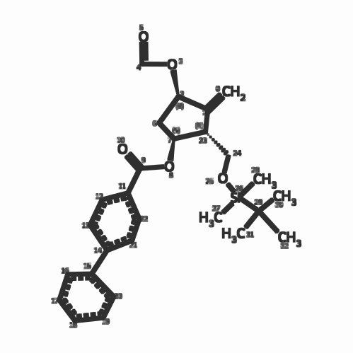 C=C1[C@H](OC=O)C[C@H](OC(=O)c2ccc(-c3ccccc3)cc2)[C@H]1CO[Si](C)(C)C(C)(C)C